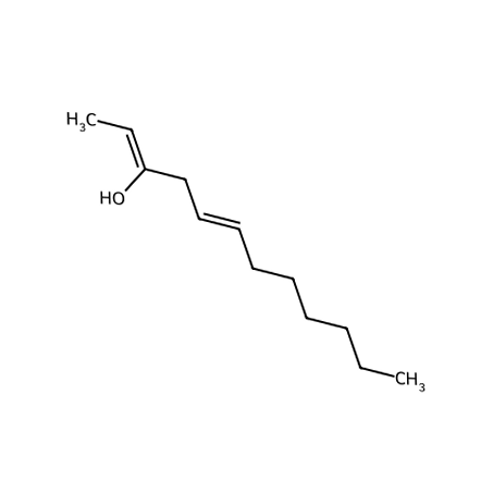 CC=C(O)CC=CCCCCCC